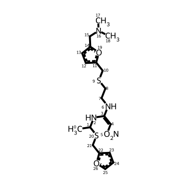 CC(NC(=C[N+](=O)[O-])NCCSCc1ccc(CN(C)C)o1)SCc1ccco1